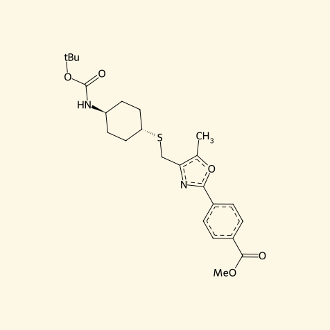 COC(=O)c1ccc(-c2nc(CS[C@H]3CC[C@H](NC(=O)OC(C)(C)C)CC3)c(C)o2)cc1